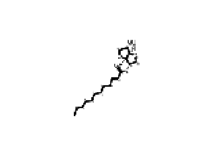 CCCCCCCCCCCC(=O)O[C@@H]1CO[C@H]2[C@@H]1OC[C@@H]2O